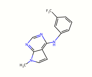 Cn1ccc2c(Nc3cccc(C(F)(F)F)c3)ncnc21